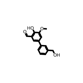 COc1cc(-c2cccc(CO)c2)cc(C=O)c1O